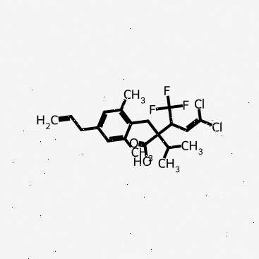 C=CCc1cc(C)c(CC(C(=O)O)(C(C)C)C(C=C(Cl)Cl)C(F)(F)F)c(C)c1